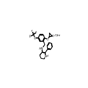 Cl.Cl.FC(F)(F)Oc1ccc(OC2CC2)c(CNC2CCCNC2c2ccccc2)c1